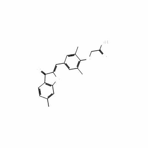 Cc1ccc2c(c1)O/C(=C\c1cc(C)c(OCC(=O)O)c(C)c1)C2=O